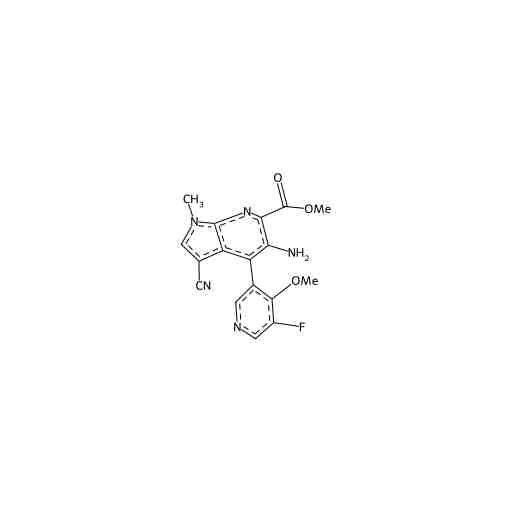 COC(=O)c1nc2c(c(C#N)cn2C)c(-c2cncc(F)c2OC)c1N